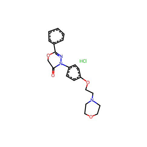 Cl.O=C1COC(c2ccccc2)=NN1c1ccc(OCCN2CCOCC2)cc1